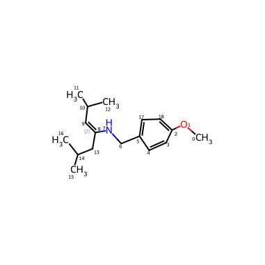 COc1ccc(CN/C(=C\C(C)C)CC(C)C)cc1